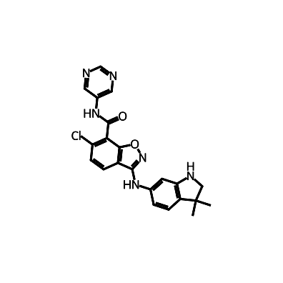 CC1(C)CNc2cc(Nc3noc4c(C(=O)Nc5cncnc5)c(Cl)ccc34)ccc21